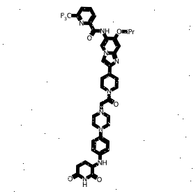 CC(C)Oc1cc2nc(C3CCN(C(=O)CN4CCN(c5ccc(NC6CCC(=O)NC6=O)cc5)CC4)CC3)cn2cc1NC(=O)c1cccc(C(F)(F)F)n1